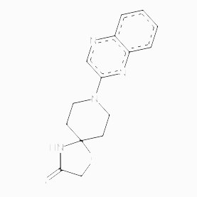 O=C1COC2(CCN(c3cnc4ccccc4n3)CC2)N1